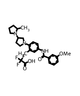 COc1cccc(C(=O)Nc2ccc(N3CCC(N4CCCC4C)C3)c(C)c2)c1.O=C(O)C(F)(F)F